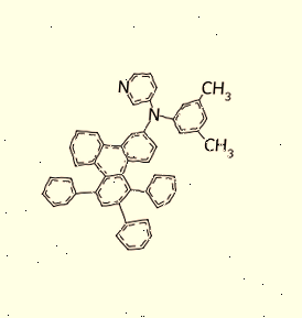 Cc1cc(C)cc(N(c2cccnc2)c2ccc3c(c2)c2ccccc2c2c(-c4ccccc4)cc(-c4ccccc4)c(-c4ccccc4)c32)c1